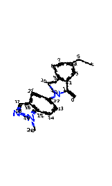 C=C1c2cc(CC)ccc2CN1c1ccc2c(cnn2C)c1